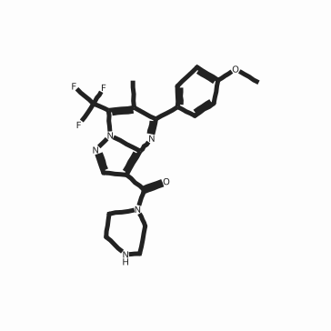 COc1ccc(-c2nc3c(C(=O)N4CCNCC4)cnn3c(C(F)(F)F)c2C)cc1